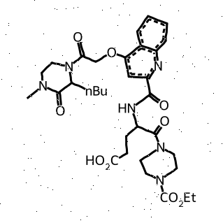 CCCCC1C(=O)N(C)CCN1C(=O)COc1cc(C(=O)NC(CCC(=O)O)C(=O)N2CCN(C(=O)OCC)CC2)nc2ccccc12